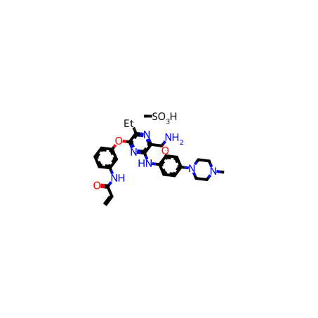 C=CC(=O)Nc1cccc(Oc2nc(Nc3ccc(N4CCN(C)CC4)cc3)c(C(N)=O)nc2CC)c1.CS(=O)(=O)O